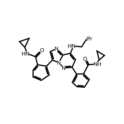 CC(C)CNc1cc(-c2ccccc2C(=O)NC2CC2)nn2c(-c3ccccc3C(=O)NC3CC3)cnc12